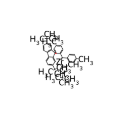 Cc1ccc([C](c2ccc(C)cc2)=[Zr]([C]2=CC(C(C)(C)C)=CC2C)[c]2c(C(C)(C)C)ccc3c2Cc2cc(C(C)(C)C)ccc2-3)cc1